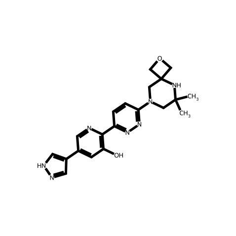 CC1(C)CN(c2ccc(-c3ncc(-c4cn[nH]c4)cc3O)nn2)CC2(COC2)N1